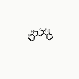 NC(=O)C(=Cc1c[nH]c2ncccc12)c1ccccc1F